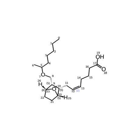 CCCCCC(C)OC[C@@H]1[C@H](C/C=C\CCCC(=O)O)[C@@H]2CC[C@H]1O2